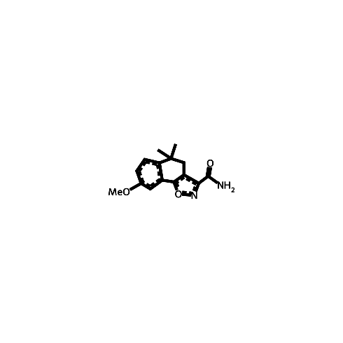 COc1ccc2c(c1)-c1onc(C(N)=O)c1CC2(C)C